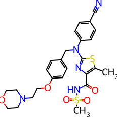 Cc1sc(N(Cc2ccc(OCCN3CCOCC3)cc2)c2ccc(C#N)cc2)nc1C(=O)NS(C)(=O)=O